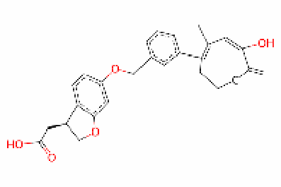 C=C1CCC/C(c2cccc(COc3ccc4c(c3)OC[C@H]4CC(=O)O)c2)=C(C)\C=C/1O